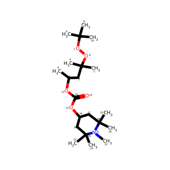 CC(CC(C)(C)OOC(C)(C)C)OC(=O)OC1CC(C)(C)N(C)C(C)(C)C1